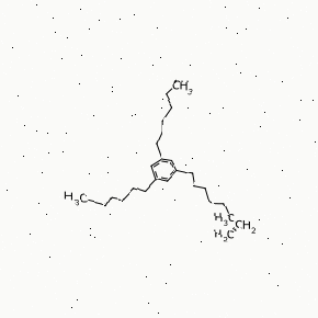 C=C.CCCCCCc1cc(CCCCCC)cc(CCCCCC)c1